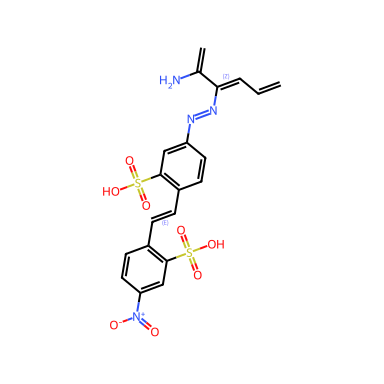 C=C/C=C(\N=Nc1ccc(/C=C/c2ccc([N+](=O)[O-])cc2S(=O)(=O)O)c(S(=O)(=O)O)c1)C(=C)N